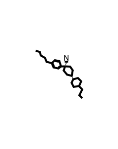 CCCCCc1ccc([C@]2(C#N)CC[C@@H](C3CCC(CCC)CC3)CC2)cc1